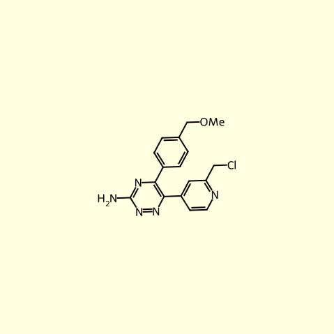 COCc1ccc(-c2nc(N)nnc2-c2ccnc(CCl)c2)cc1